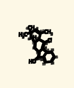 CC1=CC(C)(C)NC2=CC3=C(O)c4ccccc4C3=C(Cl)C12